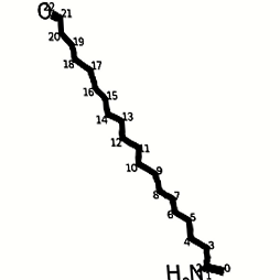 C=C(N)CCCCCCCCCCCCCCCCCCC=O